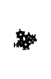 c1ccc([C@H]2CN3CCSC3=N2)cc1.c1ccc2[nH]cnc2c1